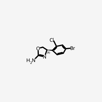 NC1=N[C@H](c2ccc(Br)cc2Cl)CO1